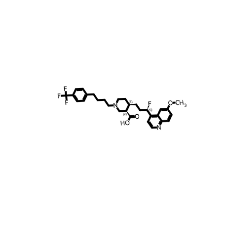 COc1ccc2nccc([C@@H](F)CC[C@@H]3CCN(CCCCc4ccc(C(F)(F)F)cc4)C[C@@H]3C(=O)O)c2c1